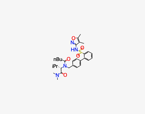 CCCCC(=O)N(Cc1ccc(-c2ccccc2S(=O)(=O)Nc2noc(C)c2C)cc1)[C@H](C(=O)N(C)C)C(C)C